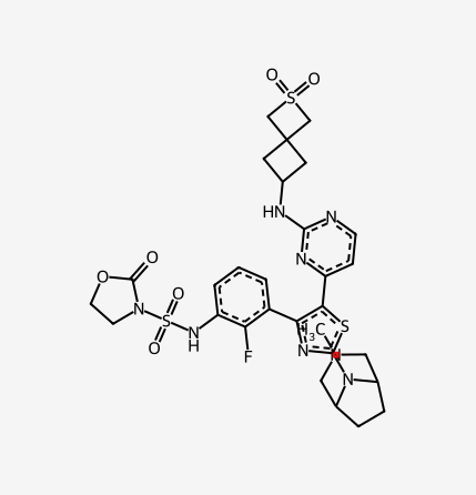 CN1CC2CCC(C1)N2c1nc(-c2cccc(NS(=O)(=O)N3CCOC3=O)c2F)c(-c2ccnc(NC3CC4(C3)CS(=O)(=O)C4)n2)s1